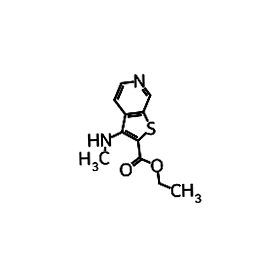 CCOC(=O)c1sc2cnccc2c1NC